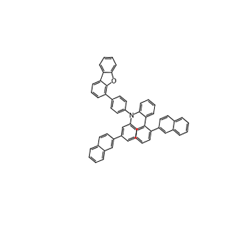 c1cc(-c2ccc3ccccc3c2)cc(N(c2ccc(-c3cccc4c3oc3ccccc34)cc2)c2ccccc2-c2ccccc2-c2ccc3ccccc3c2)c1